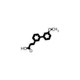 COc1cccc(-c2cccc(/C=C/C(=O)O)c2)c1